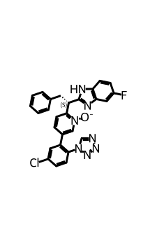 [O-][n+]1cc(-c2cc(Cl)ccc2-n2cnnn2)ccc1[C@H](Cc1ccccc1)c1nc2cc(F)ccc2[nH]1